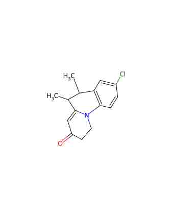 CC1C2=CC(=O)CCN2c2ccc(Cl)cc2C1C